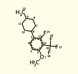 COc1ccc(C2CCC(C)CC2)c(F)c1C(F)(F)F